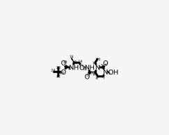 CCN1C(=O)N(O)CC[C@H]1C(=O)NOC[C@H](C)NC(=O)OC(C)(C)C